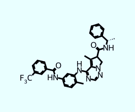 CC1=C2C(Nc3cc(NC(=O)c4cccc(C(F)(F)F)c4)ccc3C)=NC=NN2CC1C(=O)N[C@@H](C)c1ccccc1